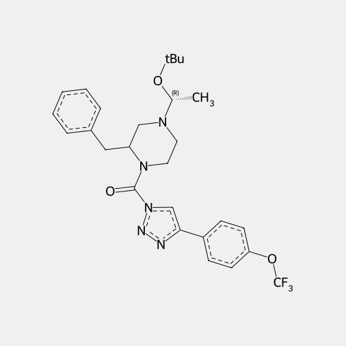 C[C@@H](OC(C)(C)C)N1CCN(C(=O)n2cc(-c3ccc(OC(F)(F)F)cc3)nn2)C(Cc2ccccc2)C1